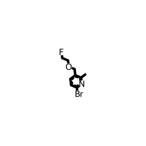 Cc1nc(Br)ccc1COCCF